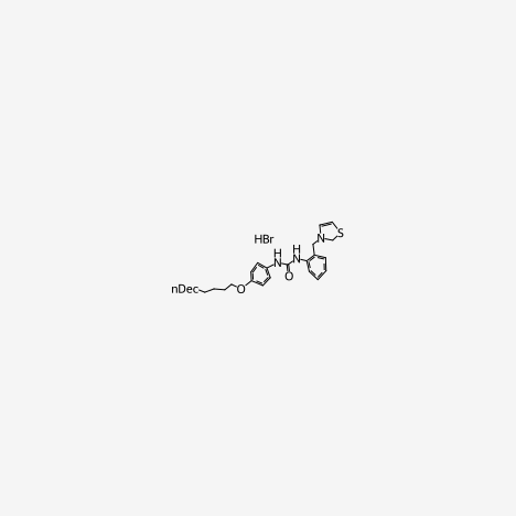 Br.CCCCCCCCCCCCCCOc1ccc(NC(=O)Nc2ccccc2CN2C=CSC2)cc1